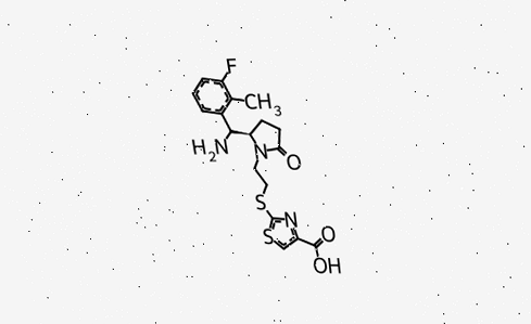 Cc1c(F)cccc1C(N)[C@H]1CCC(=O)N1CCSc1nc(C(=O)O)cs1